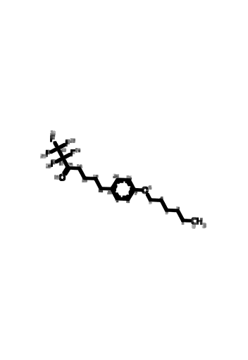 CCCCCCOc1ccc(CCCCC(=O)C(F)(F)C(F)(F)F)cc1